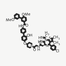 COc1cccc(-c2cc(C(=O)Nc3ccc(-c4ccc(OC5CCN(C(=O)CNC(=O)C[C@@H]6N=C(c7ccc(Cl)cc7)c7c(sc(C)c7C)N(C(C)=N)C6=N)CC5)cc4O)cc3)ccc2OC)c1